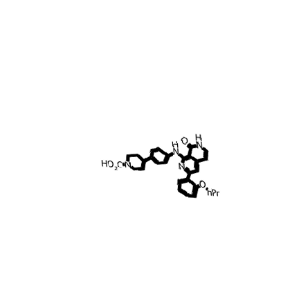 CCCOc1ccccc1-c1cc2cc[nH]c(=O)c2c(Nc2ccc(C3CCN(C(=O)O)CC3)cc2)n1